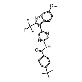 COc1ccc2c(c1)nc(C(F)(F)F)n2-c1cnc(NC(=O)c2ccc(C(C)(C)C)cc2)cn1